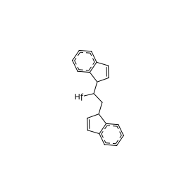 [Hf][CH](CC1C=Cc2ccccc21)C1C=Cc2ccccc21